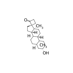 C[C@]12CC[C@H](O)C[C@H]1CC[C@@H]1[C@@H]2CC[C@@]2(C)[C@H]1CC[C@@]21CCC1=O